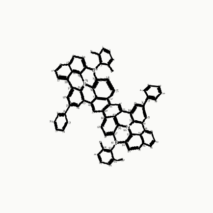 Cc1cccc(C)c1B1c2ccc3cccc4c5cc(-c6ccccc6)cc6c7cc8c(cc9c%10cc(-c%11ccccc%11)cc%11c%12cccc%13ccc%14c(c%13%12)n(c%12c(ccc8c9%12)B%14c8c(C)cccc8C)c%11%10)c8ccc1c(c87)n(c2c34)c56